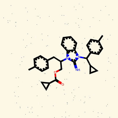 Cc1ccc(CC(COC(=O)C2CC2)n2c(=N)n(C(c3ccc(C)cc3)C3CC3)c3ccccc32)cc1